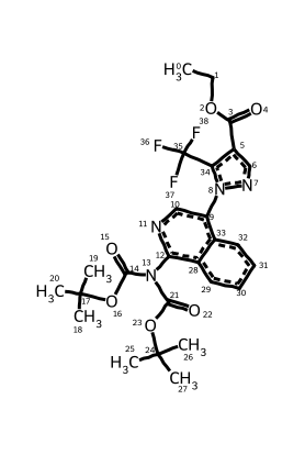 CCOC(=O)c1cnn(-c2cnc(N(C(=O)OC(C)(C)C)C(=O)OC(C)(C)C)c3ccccc23)c1C(F)(F)F